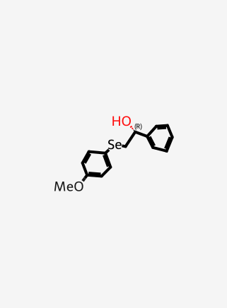 COc1ccc([Se]C[C@H](O)c2ccccc2)cc1